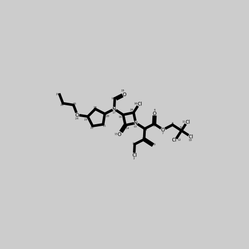 C=C(CCl)C(C(=O)OCC(Cl)(Cl)Cl)N1C(=O)C(N(C=O)C2CCC(OCCC)C2)C1Cl